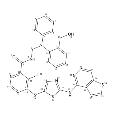 O=C(NCC(c1ccccc1)c1ccccc1CO)c1nccc(Sc2cnc(Nc3nccc4sccc34)s2)c1F